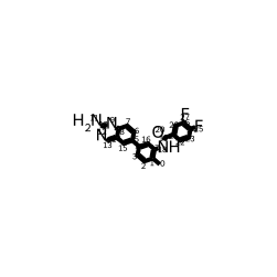 Cc1ccc(-c2ccc3nc(N)ncc3c2)cc1NC(=O)c1ccc(F)c(F)c1